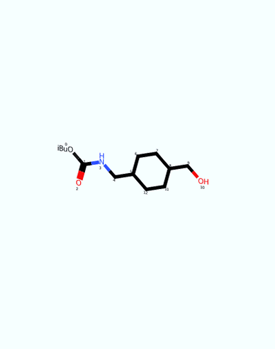 CC(C)COC(=O)NCC1CCC(CO)CC1